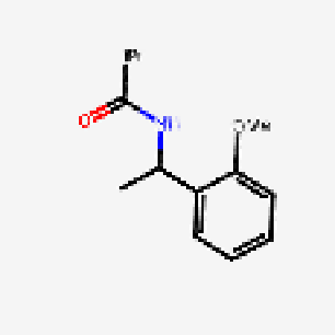 COc1ccccc1C(C)NC(=O)C(C)C